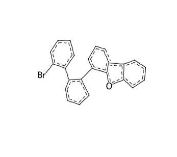 Brc1ccccc1-c1ccccc1-c1cccc2c1oc1ccccc12